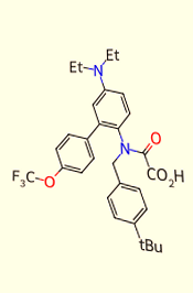 CCN(CC)c1ccc(N(Cc2ccc(C(C)(C)C)cc2)C(=O)C(=O)O)c(-c2ccc(OC(F)(F)F)cc2)c1